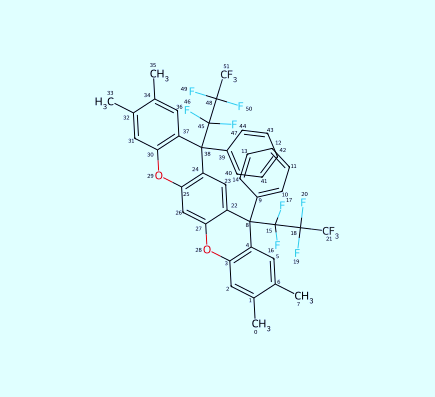 Cc1cc2c(cc1C)C(c1ccccc1)(C(F)(F)C(F)(F)C(F)(F)F)c1cc3c(cc1O2)Oc1cc(C)c(C)cc1C3(c1ccccc1)C(F)(F)C(F)(F)C(F)(F)F